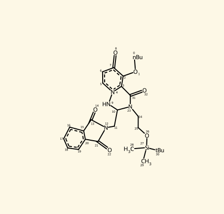 CCCCOc1c2n(ccc1=O)NC(CN1C(=O)c3ccccc3C1=O)N(CCO[Si](C)(C)C(C)(C)C)C2=O